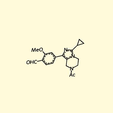 COc1cc(-c2nc(C3CC3)n3c2CN(C(C)=O)CC3)ccc1C=O